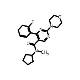 CN(C(=O)c1cnc(N2CCOCC2)nc1C1=C(F)CCC=C1)C1CCCC1